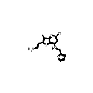 Cc1c(CCN)sc2c(NCc3cccs3)cc(Cl)nc12